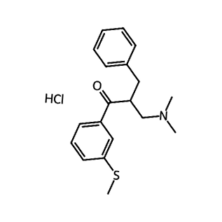 CSc1cccc(C(=O)C(Cc2ccccc2)CN(C)C)c1.Cl